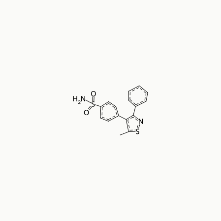 Cc1snc(-c2ccccc2)c1-c1ccc(S(N)(=O)=O)cc1